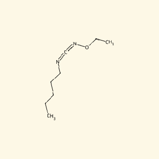 CCCCCN=C=NOCC